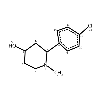 CN1CCC(O)CC1c1ccc(Cl)cc1